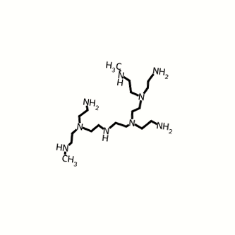 CNCCN(CCN)CCNCCN(CCN)CCN(CCN)CCNC